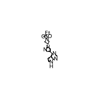 CCS(=O)(=O)N1CC(n2cc(-c3ncnc4[nH]ccc34)cn2)C1